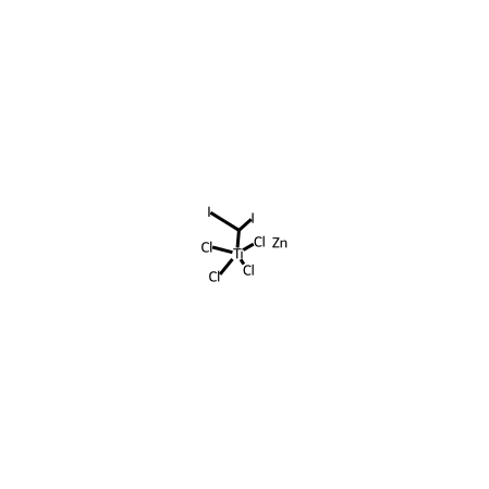 [Cl][Ti]([Cl])([Cl])([Cl])[CH](I)I.[Zn]